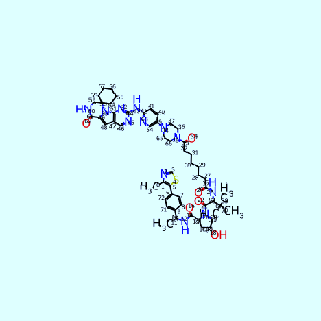 Cc1ncsc1-c1ccc([C@H](C)NC(=O)[C@@H]2C[C@@H](O)CN2C(=O)[C@@H](NC(=O)CCCCCCC(=O)N2CCN(c3ccc(Nc4ncc5cc6n(c5n4)C4(CCCCC4)CNC6=O)nc3)CC2)C(C)(C)C)cc1